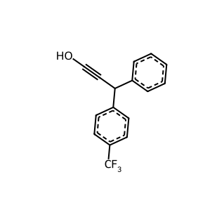 OC#CC(c1ccccc1)c1ccc(C(F)(F)F)cc1